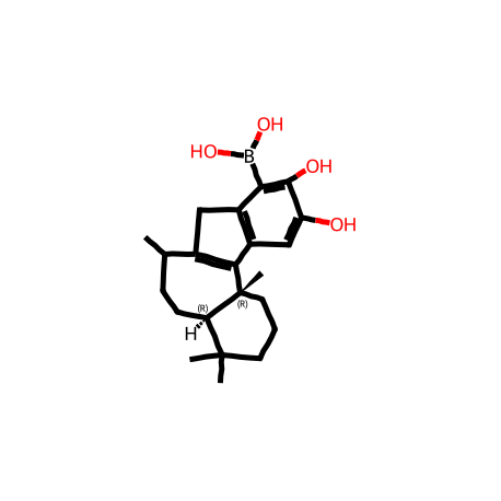 CC1CC[C@@H]2C(C)(C)CCC[C@@]2(C)C2=C1Cc1c2cc(O)c(O)c1B(O)O